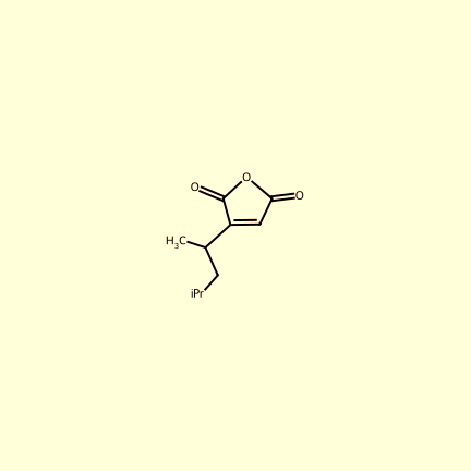 CC(C)CC(C)C1=CC(=O)OC1=O